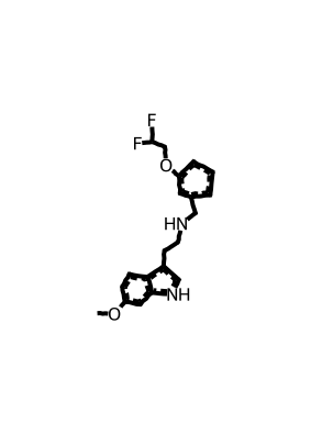 COc1ccc2c(CCNCc3cccc(OCC(F)F)c3)c[nH]c2c1